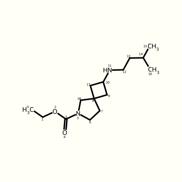 CCOC(=O)N1CCC2(CC(NCCC(C)C)C2)C1